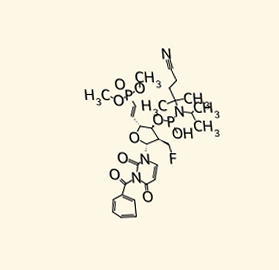 COP(=O)(/C=C/[C@H]1O[C@@H](n2ccc(=O)n(C(=O)c3ccccc3)c2=O)[C@H](CF)[C@@H]1OP(O)N(C(C)C)C(C)(C)CCC#N)OC